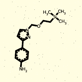 C[Si](C)(C)CCOCn1ccc(-c2ccc(N)cc2)n1